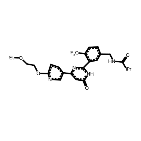 CCOCCOc1ccc(-c2cc(=O)[nH]c(-c3cc(CNC(=O)C(C)C)ccc3C(F)(F)F)n2)cn1